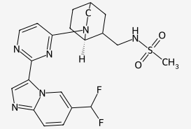 CS(=O)(=O)NCC1CC2CC[C@H]1N(c1ccnc(-c3cnc4ccc(C(F)F)cn34)n1)C2